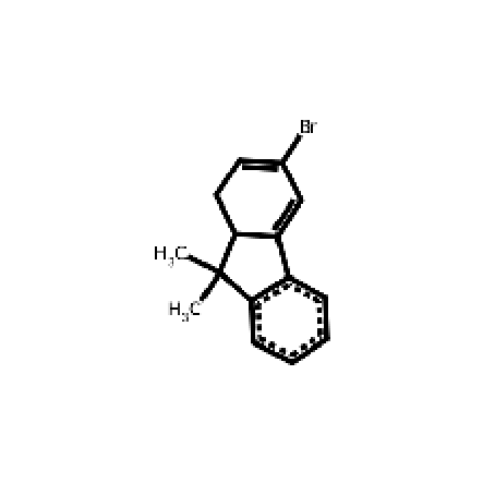 CC1(C)c2ccccc2C2=CC(Br)=CCC21